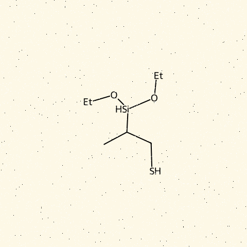 CCO[SiH](OCC)C(C)CS